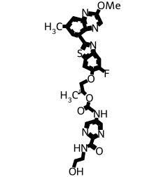 COc1cnc2c(-c3nc4cc(F)c(OC[C@@H](C)OC(=O)Nc5cnc(C(=O)NCCO)nc5)cc4s3)cc(C)cc2n1